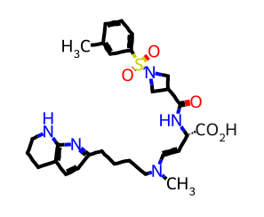 Cc1cccc(S(=O)(=O)N2CC(C(=O)N[C@@H](/C=C/N(C)CCCCc3ccc4c(n3)NCCC4)C(=O)O)C2)c1